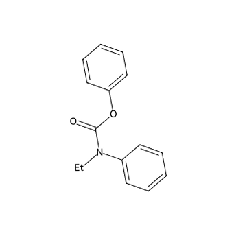 CCN(C(=O)Oc1ccccc1)c1ccccc1